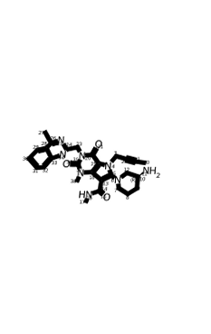 CC#CCn1c(N2CCC[C@@H](N)C2)c(C(=O)NC)c2c1c(=O)n(Cc1nc(C)c3ccccc3n1)c(=O)n2C